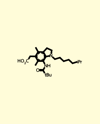 Cc1c(CC(=O)O)c(C)c(NC(=O)C(C)(C)C)c2c1CCN2CCCCCC(C)C